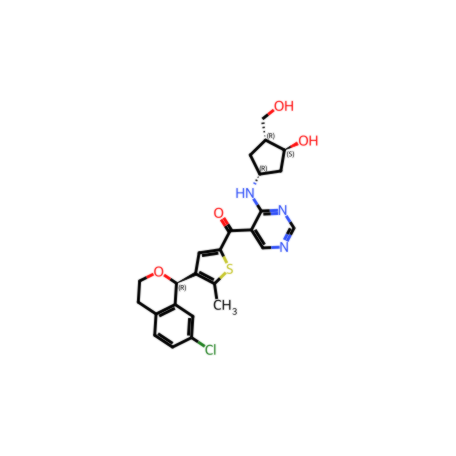 Cc1sc(C(=O)c2cncnc2N[C@@H]2C[C@H](CO)[C@@H](O)C2)cc1[C@@H]1OCCc2ccc(Cl)cc21